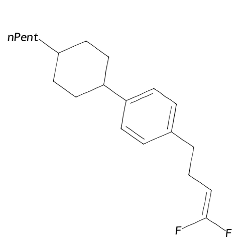 CCCCCC1CCC(c2ccc(CCC=C(F)F)cc2)CC1